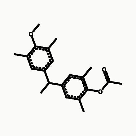 COc1c(C)cc(C(C)c2cc(C)c(OC(C)=O)c(C)c2)cc1C